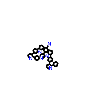 N#Cc1ccc(-c2c(-n3c4ccccc4c4ccc(-c5cccnc5-c5ccccc5)cc43)cncc2-n2c3ccccc3c3ccc(-c4cccnc4-c4ccccc4)cc32)cc1